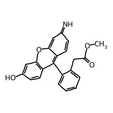 COC(=O)Cc1ccccc1-c1c2ccc(=N)cc-2oc2cc(O)ccc12